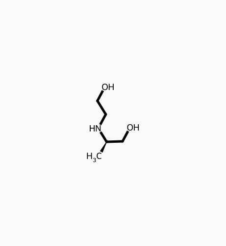 C[C@H](CO)NCCO